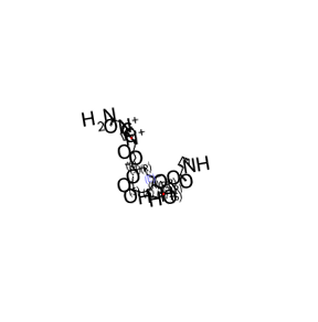 CO[C@H]1C[C@H]2C=C[C@@H]3C[C@]2(O[C@H]3[C@H](OC(=O)c2ccc[nH]2)[C@H](C)[C@H](C)O)/C(C)=C/[C@@H](C)[C@@H]([C@@H](C)OC(=O)C[N+]23CC[N+](CC(N)=O)(CC2)CC3)OC1=O